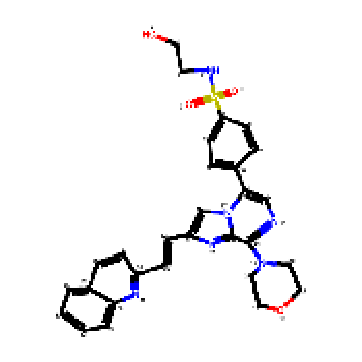 O=S(=O)(NCCO)c1ccc(-c2cnc(N3CCOCC3)c3nc(/C=C/c4ccc5ccccc5n4)cn23)cc1